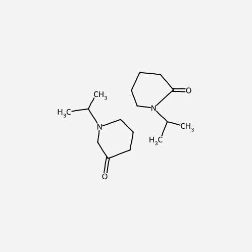 CC(C)N1CCCC(=O)C1.CC(C)N1CCCCC1=O